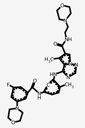 Cc1ccc(NC(=O)c2cc(F)cc(N3CCOCC3)c2)cc1Nc1ncnn2cc(C(=O)NCCN3CCOCC3)c(C)c12